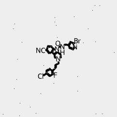 N#Cc1ccc2c(c1)c1c(n2C(=O)NCc2ccnc(Br)c2)CCN(C/C=C/c2ccc(Cl)cc2F)C1